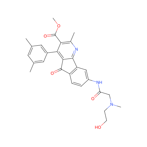 COC(=O)c1c(C)nc2c(c1-c1cc(C)cc(C)c1)C(=O)c1ccc(NC(=O)CN(C)CCO)cc1-2